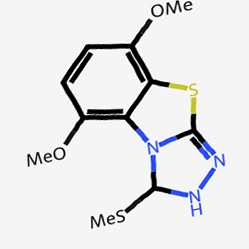 COc1ccc(OC)c2c1SC1=NNC(SC)N12